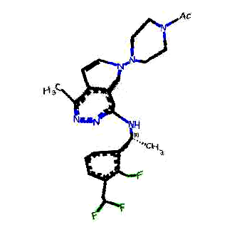 CC(=O)N1CCN(N2C=Cc3c(C)nnc(N[C@H](C)c4cccc(C(F)F)c4F)c3C2)CC1